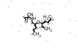 C=C/C=C(\CNC1(C#N)CO1)O/C(C=C)=C/C=C\C